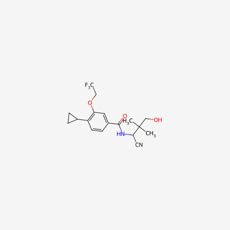 CC(C)(CO)C(C#N)NC(=O)c1ccc(C2CC2)c(OCC(F)(F)F)c1